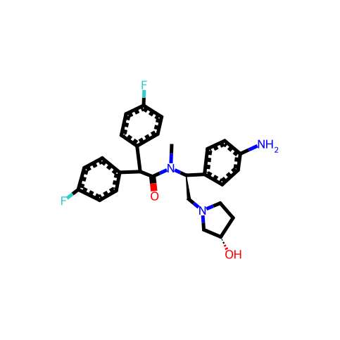 CN(C(=O)C(c1ccc(F)cc1)c1ccc(F)cc1)[C@H](CN1CC[C@H](O)C1)c1ccc(N)cc1